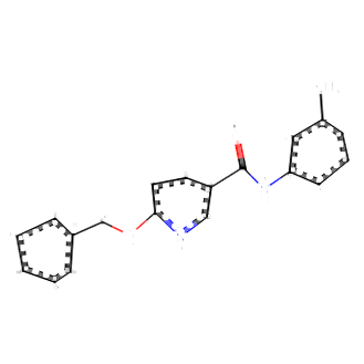 Cc1cccc(NC(=O)c2ccc(OCc3ccccc3)nc2)c1